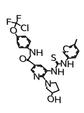 Cc1ccc(NC(=S)Nc2cc(C(=O)Nc3ccc(OC(F)(F)Cl)cc3)cnc2N2CCC(O)C2)cc1